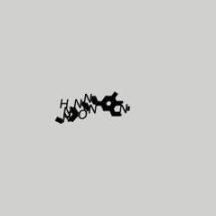 CCn1cc(Oc2nc(-c3cc(C)c4c(c3)CCN(C)C4)cnc2N)cn1